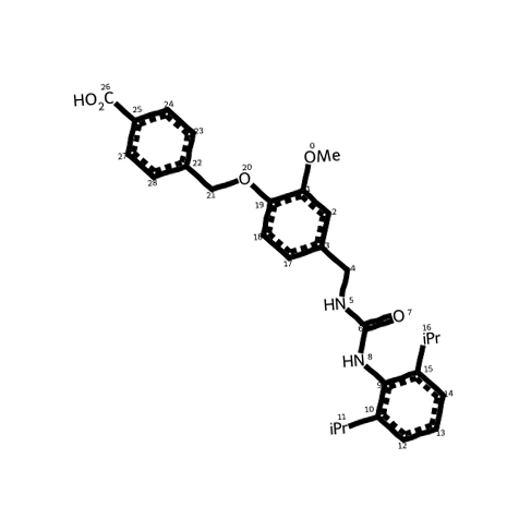 COc1cc(CNC(=O)Nc2c(C(C)C)cccc2C(C)C)ccc1OCc1ccc(C(=O)O)cc1